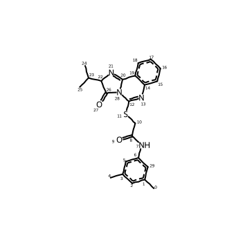 Cc1cc(C)cc(NC(=O)CSC2=Nc3ccccc3C3=NC(C(C)C)C(=O)N23)c1